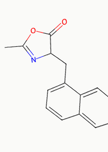 CC1=NC(Cc2cccc3ccccc23)C(=O)O1